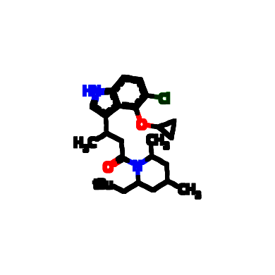 CC1CC(C)N(C(=O)CC(C)c2c[nH]c3ccc(Cl)c(OC4CC4)c23)C(CC(C)(C)C)C1